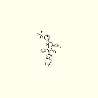 CCn1cc(N2C(=O)c3c(C)cc(-c4cncc(OC(F)F)c4)nc3C2C)cn1